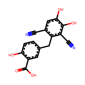 N#Cc1cc(O)c(O)c(C#N)c1Cc1ccc(O)c(C(=O)O)c1